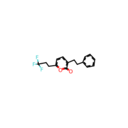 O=c1oc(CCC(F)(F)F)ccc1CCc1ccccc1